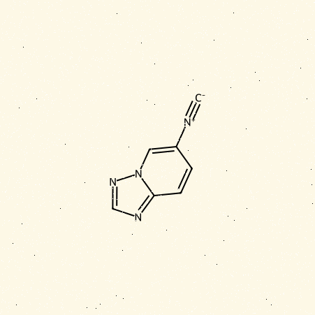 [C-]#[N+]c1ccc2ncnn2c1